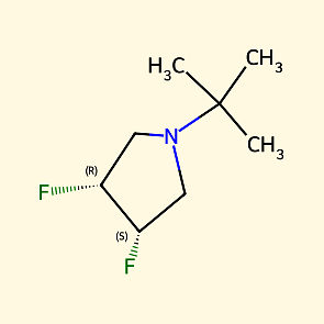 CC(C)(C)N1C[C@@H](F)[C@@H](F)C1